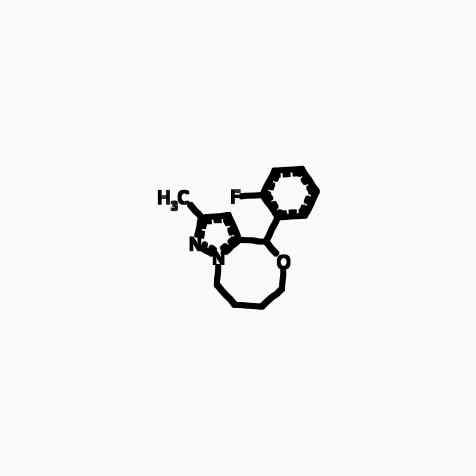 Cc1cc2n(n1)CCCCOC2c1ccccc1F